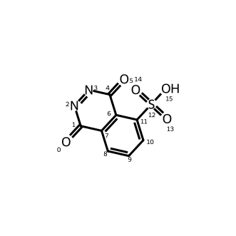 O=C1N=NC(=O)c2c1cccc2S(=O)(=O)O